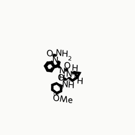 CO[C@H]1CCC[C@@H](NC(=O)[C@@H]2C[C@H]3C[C@H]3N2C(=O)Nc2cn(C(N)=O)c3ccccc23)C1